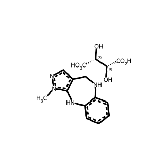 Cn1ncc2c1Nc1ccccc1NC2.O=C(O)[C@H](O)[C@@H](O)C(=O)O